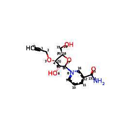 C#CCO[C@H]1[C@@H](O)[C@H]([n+]2cccc(C(N)=O)c2)O[C@@H]1CO